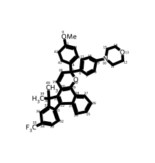 COC1=CC=C(C2(c3ccc(N4CCOCC4)cc3)C=Cc3c4c(c5ccccc5c3O2)-c2ccc(C(F)(F)F)cc2C4(C)C)CC1